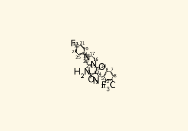 Nc1onc(-c2ccccc2C(F)(F)F)c1C(=O)N1CCN(c2ccc(F)cc2)CC1